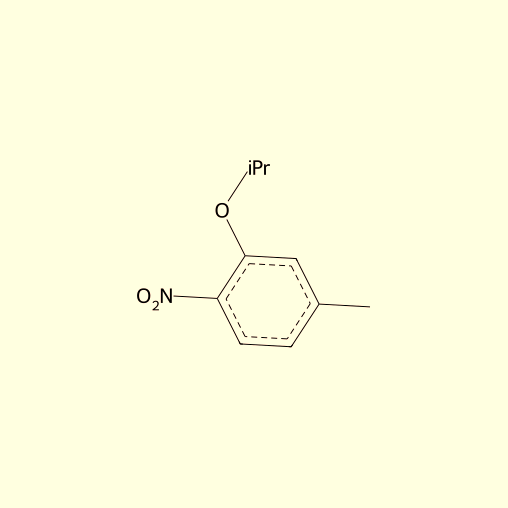 Cc1ccc([N+](=O)[O-])c(OC(C)C)c1